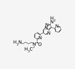 CCN(CCCCN)C(=O)c1cccc(-c2cnc3c(-c4ccccn4)c(N)nn3c2)n1